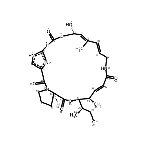 CC1=C\[C@@H](O)CC(=O)Cc2nc(c[nH]2)C(=O)N2CCC[C@@H]2C(=O)O[C@H]([C@H](C)CO)[C@H](C)/C=C/C(=O)NC\C=C\1